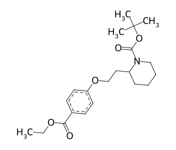 CCOC(=O)c1ccc(OCCC2CCCCN2C(=O)OC(C)(C)C)cc1